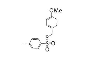 COc1ccc(CSS(=O)(=O)c2ccc(C)cc2)cc1